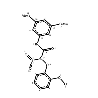 CCOc1ccccc1ON(C(=O)Nc1cc(OC)cc(OC)n1)[SH](=O)=O